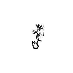 CC(=NNC(=S)NC(C)(C)C)c1ccccn1